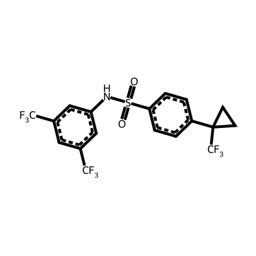 O=S(=O)(Nc1cc(C(F)(F)F)cc(C(F)(F)F)c1)c1ccc(C2(C(F)(F)F)CC2)cc1